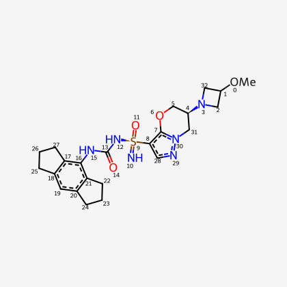 COC1CN([C@@H]2COc3c([S@](=N)(=O)NC(=O)Nc4c5c(cc6c4CCC6)CCC5)cnn3C2)C1